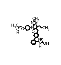 CCCc1c(Cc2ccc(-c3ccccc3C3=NOC(O)N3)cc2)c(=O)n([C@H]2CC[C@H](OCC(C)O)CC2)c2nc(C)nn12